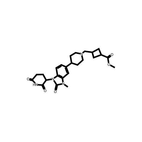 COC(=O)C1CC(CN2CCC(c3ccc4c(c3)n(C)c(=O)n4C3CCC(=O)NC3=O)CC2)C1